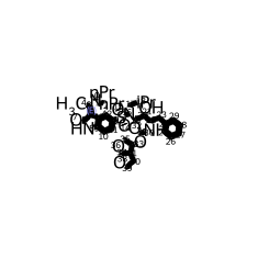 CCCN(CCC)/C(C)=C1/C(=O)Nc2ccc(S(=O)(=O)N(CC(C)C)CC(O)C(Cc3ccccc3)NC(=O)OC3COC4OCCC34)cc21